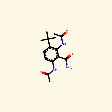 CC(=O)Nc1ccc(C(C)(C)C)c(NC(C)=O)c1C(N)=O